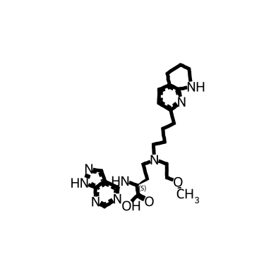 COCCN(CCCCc1ccc2c(n1)NCCC2)CC[C@H](Nc1ncnc2[nH]ncc12)C(=O)O